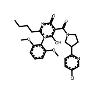 CCCCc1nc(=O)c(C(=O)N2CCC(c3ccc(Cl)cn3)C2)c(O)n1-c1c(OC)cccc1OC